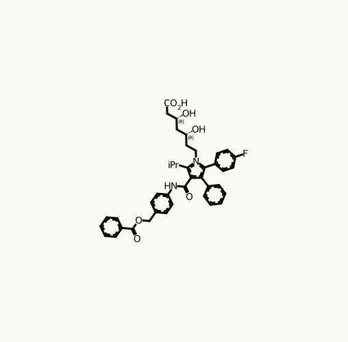 CC(C)c1c(C(=O)Nc2ccc(COC(=O)c3ccccc3)cc2)c(-c2ccccc2)c(-c2ccc(F)cc2)n1CC[C@@H](O)C[C@@H](O)CC(=O)O